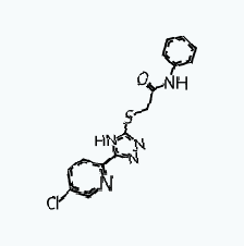 O=C(CSc1nnc(-c2ccc(Cl)cn2)[nH]1)Nc1ccccc1